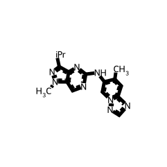 Cc1cc2ncnn2cc1Nc1ncc2c(n1)c(C(C)C)nn2C